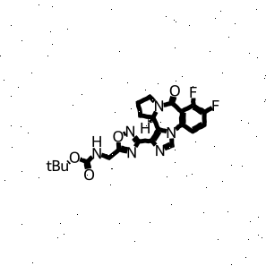 CC(C)(C)OC(=O)NCc1nc(-c2ncn3c2[C@@H]2CCCN2C(=O)c2c-3ccc(F)c2F)no1